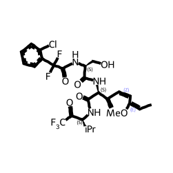 C=C(/C=C\C(=C/C)OC)[C@H](NC(=O)[C@H](CO)NC(=O)C(F)(F)c1ccccc1Cl)C(=O)N[C@H](C(=O)C(F)(F)F)C(C)C